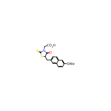 COc1ccc2cc(CC3SC(=S)N(CC(=O)O)C3=O)ccc2c1